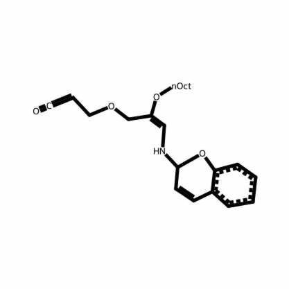 CCCCCCCCO/C(=C/NC1C=Cc2ccccc2O1)COCC=C=O